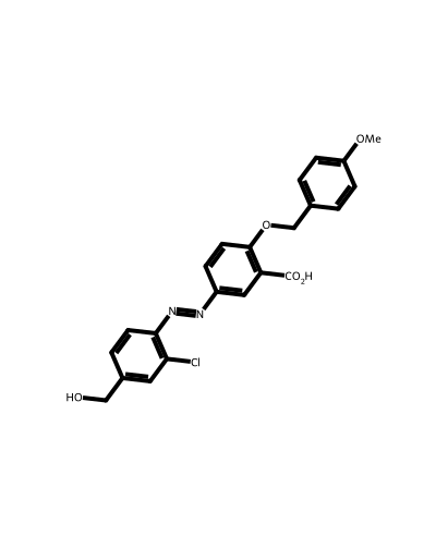 COc1ccc(COc2ccc(N=Nc3ccc(CO)cc3Cl)cc2C(=O)O)cc1